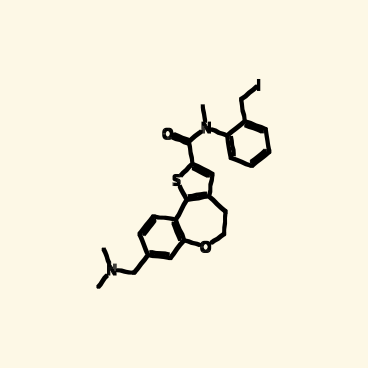 CN(C)Cc1ccc2c(c1)OCCc1cc(C(=O)N(C)c3ccccc3CI)sc1-2